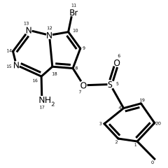 Cc1ccc(S(=O)Oc2cc(Br)n3ncnc(N)c23)cc1